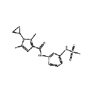 Cc1cc(C(=O)Nc2cccc(NS(C)(=O)=O)c2)c(C)n1C1CC1